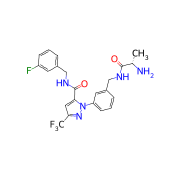 C[C@H](N)C(=O)NCc1cccc(-n2nc(C(F)(F)F)cc2C(=O)NCc2cccc(F)c2)c1